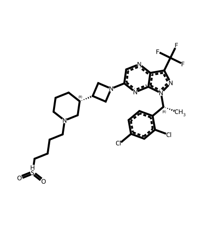 C[C@H](c1ccc(Cl)cc1Cl)n1nc(C(F)(F)F)c2ncc(N3CC([C@H]4CCCN(CCCC[SH](=O)=O)C4)C3)nc21